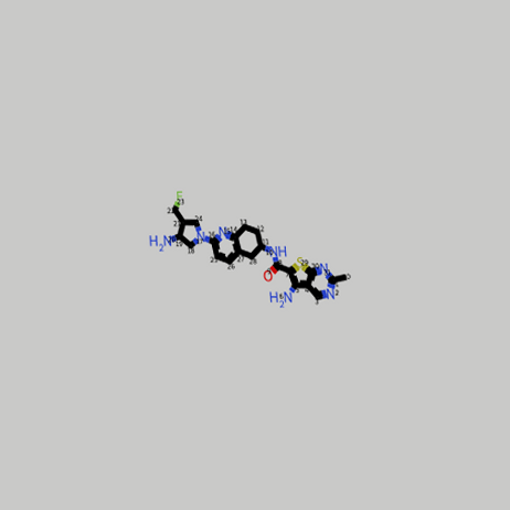 Cc1ncc2c(N)c(C(=O)NC3CCc4nc(N5CC(N)C(CF)C5)ccc4C3)sc2n1